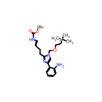 CC(C)(C)OC(=O)NC=CCCc1nc(-c2cc[c]cc2N)cn1COCC[Si](C)(C)C